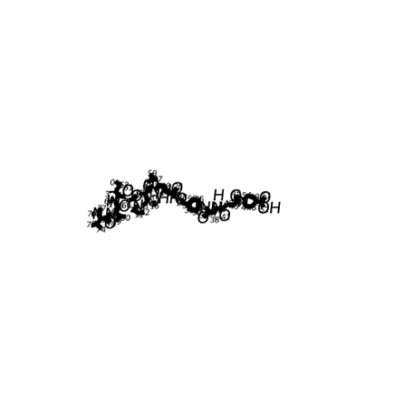 CC[C@H](C)[C@@H]([C@@H](CC(=O)N1CCC[C@H]1[C@H](OC)[C@@H](C)C(=O)N[C@H](/C=C/C(=O)NOCc1ccc(NC(=O)[C@@H](C)NC(=O)CCC(=O)N2CCC(C(=O)O)CC2)cc1)CC(C)C)OC)N(C)C(=O)[C@@H](NC(=O)C(C(C)C)N(C)C)C(C)C